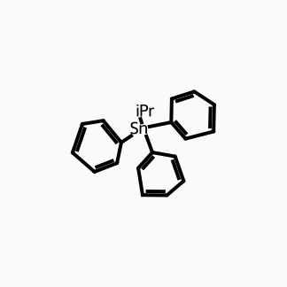 C[CH](C)[Sn]([c]1ccccc1)([c]1ccccc1)[c]1ccccc1